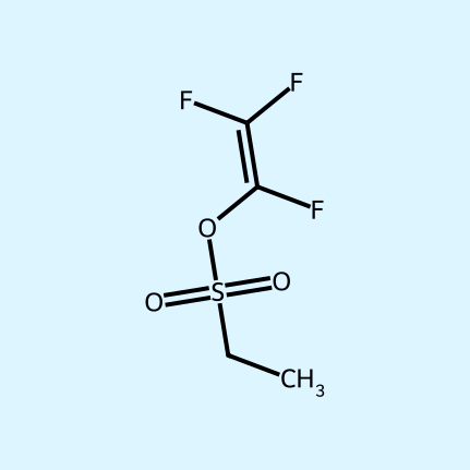 CCS(=O)(=O)OC(F)=C(F)F